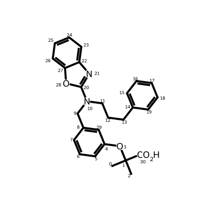 CC(C)(Oc1cccc(CN(CCCc2ccccc2)c2nc3ccccc3o2)c1)C(=O)O